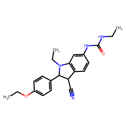 CCNC(=O)Nc1ccc2c(c1)N(CC)C(c1ccc(OCC)cc1)C2C#N